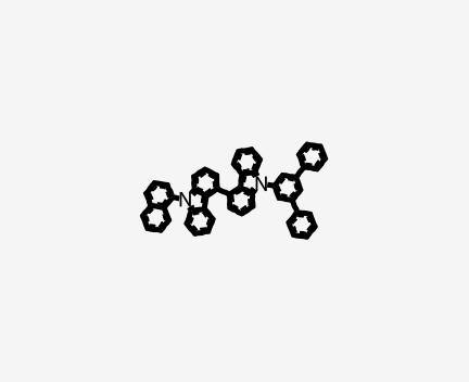 c1ccc(-c2cc(-c3ccccc3)cc(-n3c4ccccc4c4c(-c5cccc6c5c5ccccc5n6-c5cccc6ccccc56)cccc43)c2)cc1